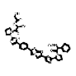 CC(=O)NC(C(=O)N1CCCC1c1ncc(-c2cn3cc(-c4ccc(-c5cnc([C@@H]6CCCN6C(=O)C(NC(=O)CO)C(C)C)[nH]5)cc4)sc3n2)s1)c1ccccc1